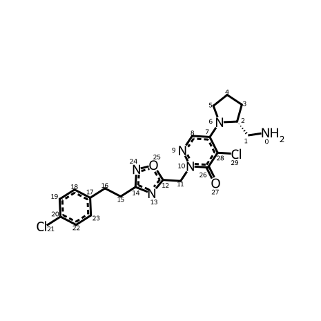 NC[C@H]1CCCN1c1cnn(Cc2nc(CCc3ccc(Cl)cc3)no2)c(=O)c1Cl